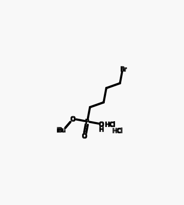 CCC(C)OP(=O)(O)CCCCBr.Cl.Cl